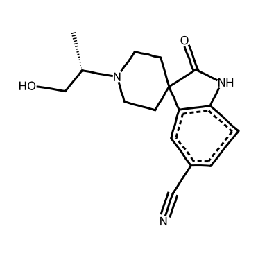 C[C@@H](CO)N1CCC2(CC1)C(=O)Nc1ccc(C#N)cc12